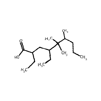 CCCC(C)C(C)(C)C(CC)CC(CC)C(=O)O